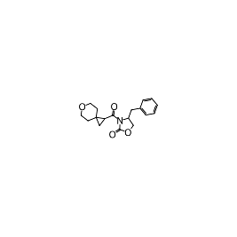 O=C1OCC(Cc2ccccc2)N1C(=O)C1CC12CCOCC2